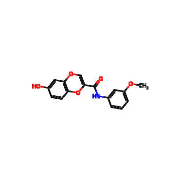 COc1cccc(NC(=O)C2=COc3cc(O)ccc3O2)c1